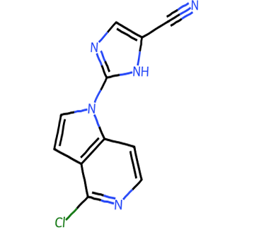 N#Cc1cnc(-n2ccc3c(Cl)nccc32)[nH]1